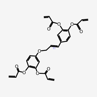 C=CC(=O)Oc1ccc(/C=C/COc2ccc(OC(=O)C=C)c(OC(=O)C=C)c2)cc1OC(=O)C=C